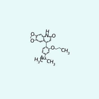 CCCOc1c[c]([Au]([CH3])[CH3])ccc1-c1cc(=O)[nH]c2cc3c(cc12)OCO3